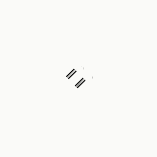 [S]=[Sn].[S]=[Zn]